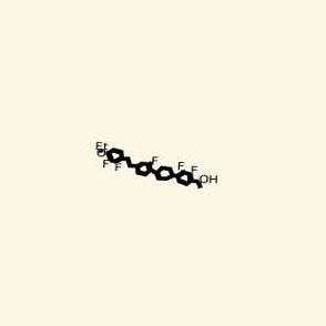 CCOc1ccc(CCc2ccc(C3=CCC(c4ccc(C(C)O)c(F)c4F)CC3)c(F)c2)c(F)c1F